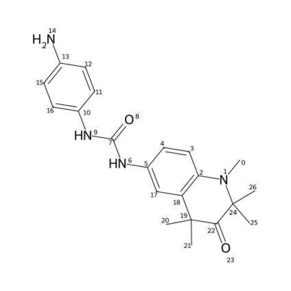 CN1c2ccc(NC(=O)Nc3ccc(N)cc3)cc2C(C)(C)C(=O)C1(C)C